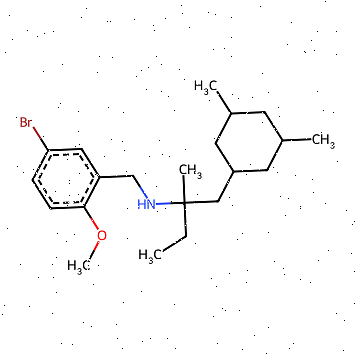 CCC(C)(CC1CC(C)CC(C)C1)NCc1cc(Br)ccc1OC